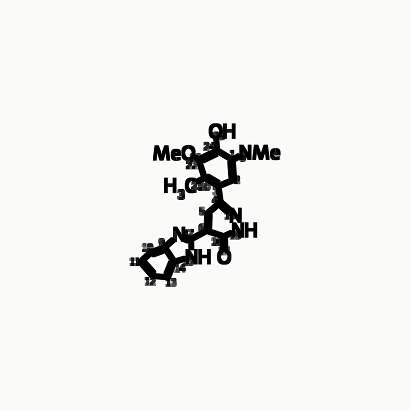 CNc1cc(-c2cc(-c3nc4ccccc4[nH]3)c(=O)[nH]n2)c(C)c(OC)c1O